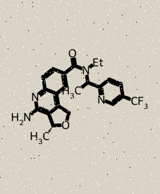 CCN(C(=O)c1ccc2nc(N)c3c(c2c1)CO[C@@H]3C)C(C)c1ccc(C(F)(F)F)cn1